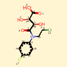 O=C(O)[C@H](O)[C@@H](O)C(=O)N(CCCl)c1ccc(F)cc1